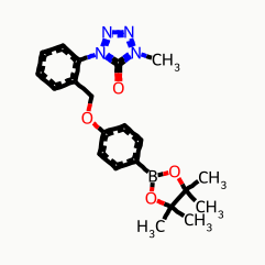 Cn1nnn(-c2ccccc2COc2ccc(B3OC(C)(C)C(C)(C)O3)cc2)c1=O